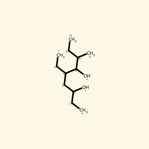 CCC(O)CC(CC)C(O)C(C)CC